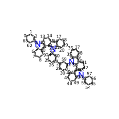 c1ccc(-n2c3ccccc3c3c2ccc2c4ccccc4n(-c4cccc(-c5cccc(-n6c7ccccc7c7ccc8c(c9ccccc9n8-c8ccccc8)c76)c5)c4)c23)cc1